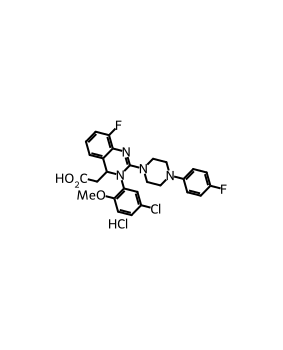 COc1ccc(Cl)cc1N1C(N2CCN(c3ccc(F)cc3)CC2)=Nc2c(F)cccc2C1CC(=O)O.Cl